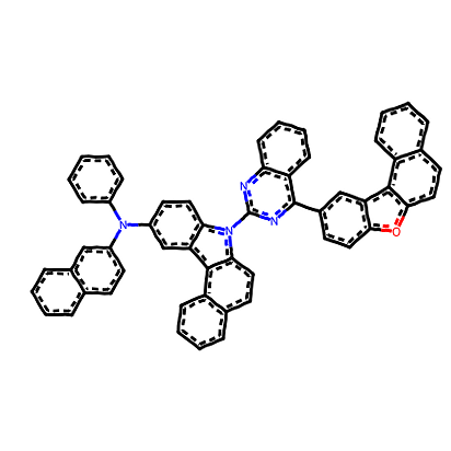 c1ccc(N(c2ccc3ccccc3c2)c2ccc3c(c2)c2c4ccccc4ccc2n3-c2nc(-c3ccc4oc5ccc6ccccc6c5c4c3)c3ccccc3n2)cc1